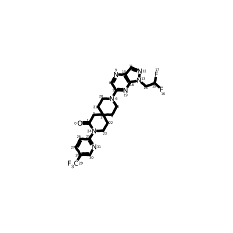 O=C1CC2(CCN(c3cnc4cnn(CC(F)F)c4n3)CC2)CCN1c1ccc(C(F)(F)F)cn1